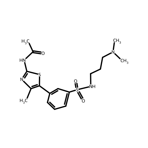 CC(=O)Nc1nc(C)c(-c2cccc(S(=O)(=O)NCCCN(C)C)c2)s1